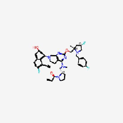 C#Cc1c(F)ccc2cc(O)cc(N3CCc4c(nc(OC[C@]5(C)C[C@@H](F)CN5Cc5ccc(F)cc5)nc4N(C)C[C@@H]4CCCN4C(=O)C=C)C3)c12